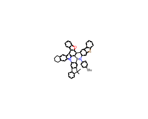 CC(C)(C)c1ccc(N2B3c4cc5c(cc4-n4c6cc7c(cc6c6c8c(oc9ccccc98)c(c3c64)-c3cc4c(cc32)sc2ccccc24)CCCC7)-c2ccccc2C5(C)C)cc1